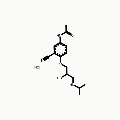 CC(=O)Nc1ccc(OCC(O)CNC(C)C)c(C#N)c1.Cl